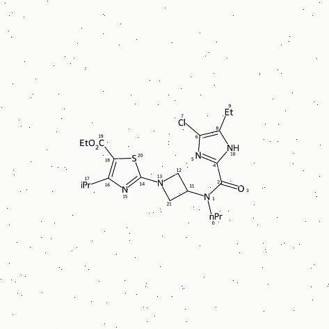 CCCN(C(=O)c1nc(Cl)c(CC)[nH]1)C1CN(c2nc(C(C)C)c(C(=O)OCC)s2)C1